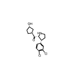 O=C([C@@H]1NCC[C@@H]1c1ccc(Cl)c(Cl)c1)N1CC[C@H](O)C1